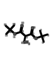 CC(C)(C)OC(=O)C([SiH3])C(=O)OC(C)(C)C